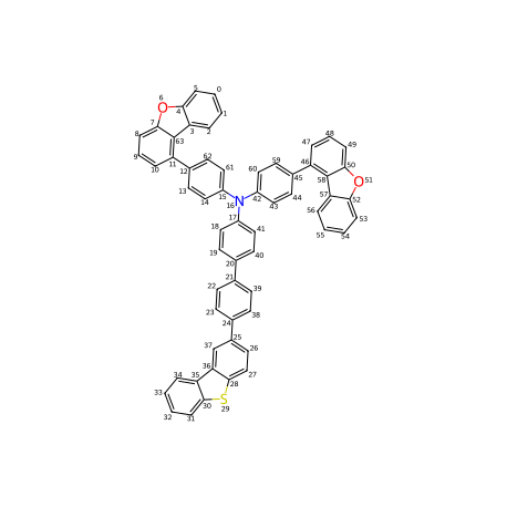 c1ccc2c(c1)oc1cccc(-c3ccc(N(c4ccc(-c5ccc(-c6ccc7sc8ccccc8c7c6)cc5)cc4)c4ccc(-c5cccc6oc7ccccc7c56)cc4)cc3)c12